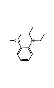 CCN(CC)c1cccc[c]1[Ga]([CH3])[CH3]